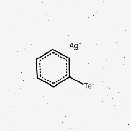 [Ag+].[Te-]c1ccccc1